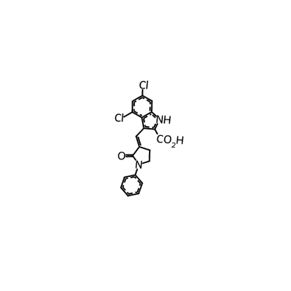 O=C(O)c1[nH]c2cc(Cl)cc(Cl)c2c1C=C1CCN(c2ccccc2)C1=O